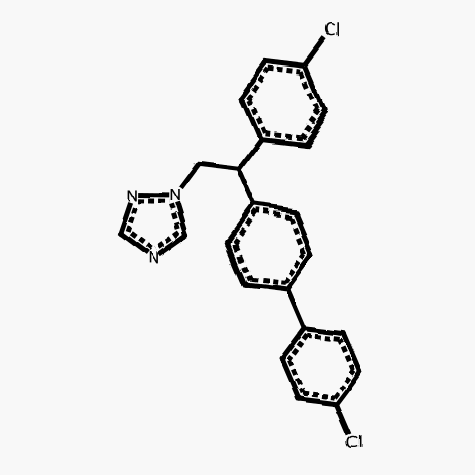 Clc1ccc([C]([CH]n2cncn2)c2ccc(-c3ccc(Cl)cc3)cc2)cc1